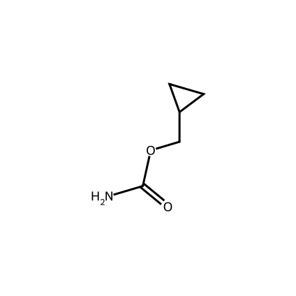 NC(=O)OCC1CC1